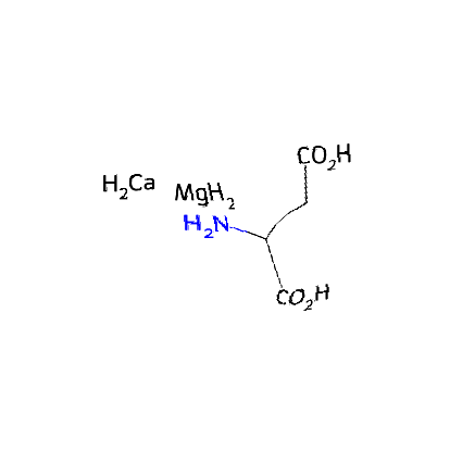 NC(CC(=O)O)C(=O)O.[CaH2].[MgH2]